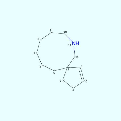 C1=CC2(CC1)CCCCCCNC2